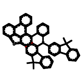 CC1(C)c2ccccc2-c2ccc(N(c3ccccc3-c3ccc4oc5cccc6c7ccccc7c3c4c56)c3cccc4c3-c3ccccc3C4(C)C)cc21